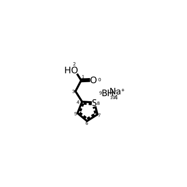 O=C(O)Cc1cccs1.[BH4-].[Na+]